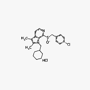 Cc1c(C)n(CC2CCCCC2)c2c([S+]([O-])Cc3ccc(Cl)cc3)nccc12.Cl